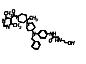 Cc1ncnc(C)c1C(=O)N1CCC(C)(N2CCC(N(Cc3ccccc3)c3ccc(NC(=O)CNCCO)cc3)CC2)CC1